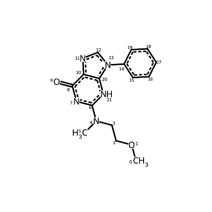 COCCN(C)c1nc(=O)c2ncn(-c3ccccc3)c2[nH]1